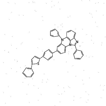 c1ccc(-c2ccc(-c3ccc(-c4ccc5c(c4)N(c4ccccc4)c4cccc6nc(-c7ccccc7)n-5c46)cc3)s2)cc1